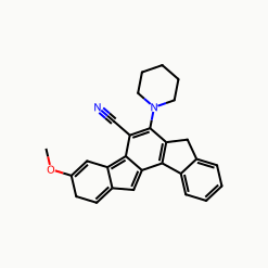 COC1=CC2=c3c(C#N)c(N4CCCCC4)c4c(c3=CC2=CC1)-c1ccccc1C4